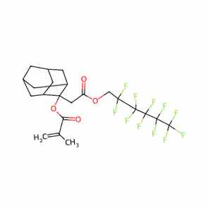 C=C(C)C(=O)OC1(CC(=O)OCC(F)(F)C(F)(F)C(F)(F)C(F)(F)C(F)(F)F)C2CC3CC(C2)CC1C3